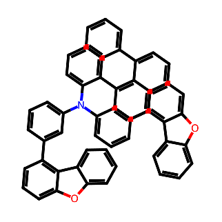 C1=c2cccc(-c3ccccc3)c2=C(c2ccccc2N(c2cccc(-c3cccc4oc5ccccc5c34)c2)c2cccc(-c3cccc4oc5ccccc5c34)c2)CC1